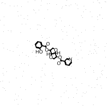 O=C(O[C@@H]1CO[C@H]2[C@@H]1OC[C@@H]2OC(=O)c1ccccc1O)c1cccnc1